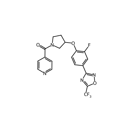 O=C(c1ccncc1)N1CCC(Oc2ccc(-c3noc(C(F)(F)F)n3)cc2F)C1